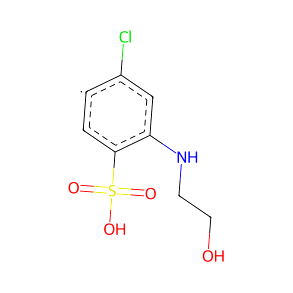 O=S(=O)(O)c1c[c]c(Cl)cc1NCCO